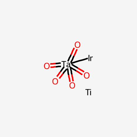 [O]=[Ta](=[O])(=[O])(=[O])(=[O])[Ir].[Ti]